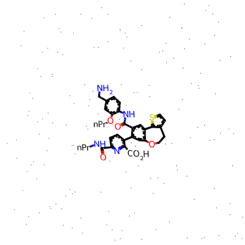 CCCNC(=O)c1ccc(-c2cc3c(cc2C(=O)Nc2ccc(CN)cc2OCCC)-c2sccc2CCO3)c(C(=O)O)n1